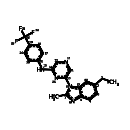 CCc1ccc2nc(C)n(-c3cncc(Nc4ccc(C(F)(F)F)cc4)n3)c2c1